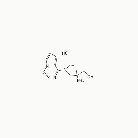 Cl.NC1(CO)CCN(c2nccn3cccc23)C1